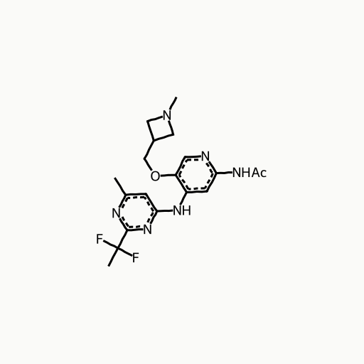 CC(=O)Nc1cc(Nc2cc(C)nc(C(C)(F)F)n2)c(OCC2CN(C)C2)cn1